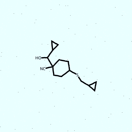 N#CC1(C(O)C2CC2)CCC(SCC2CC2)CC1